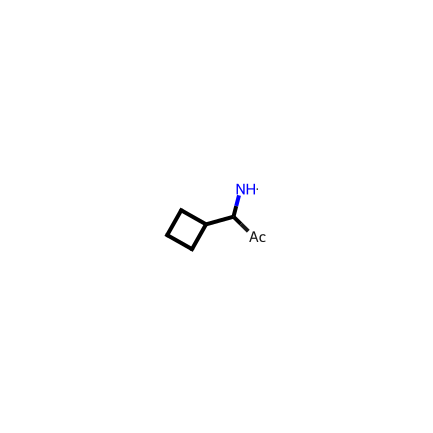 CC(=O)C([NH])C1CCC1